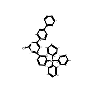 Clc1nc(-c2ccc(-c3ccccc3)cc2)cc(-c2cccc([Si](c3ccccc3)(c3ccccc3)c3ccccc3)c2)n1